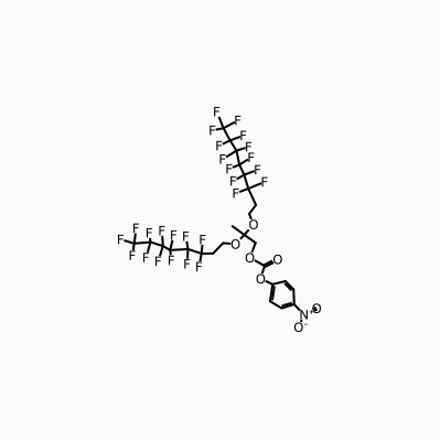 CC(COC(=O)Oc1ccc([N+](=O)[O-])cc1)(OCCC(F)(F)C(F)(F)C(F)(F)C(F)(F)C(F)(F)C(F)(F)F)OCCC(F)(F)C(F)(F)C(F)(F)C(F)(F)C(F)(F)C(F)(F)F